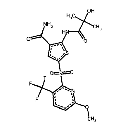 COc1ccc(C(F)(F)F)c(S(=O)(=O)c2cc(C(N)=O)c(NC(=O)C(C)(C)O)s2)n1